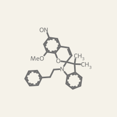 COc1cc(N=O)cc2c1OC1(C=C2)N(CCc2ccccc2)c2ccccc2C1(C)C